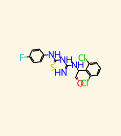 N=C(NC(=S)Nc1ccc(F)cc1)NC(C=O)c1c(Cl)cccc1Cl